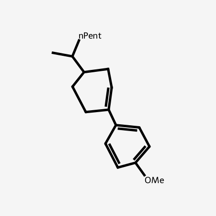 CCCCCC(C)C1CC=C(c2ccc(OC)cc2)CC1